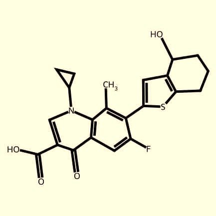 Cc1c(-c2cc3c(s2)CCCC3O)c(F)cc2c(=O)c(C(=O)O)cn(C3CC3)c12